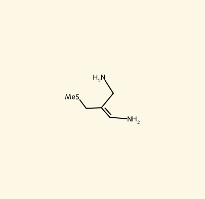 CSC/C(=C/N)CN